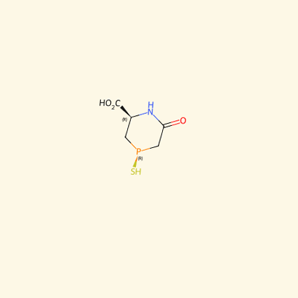 O=C1C[P@@](S)C[C@@H](C(=O)O)N1